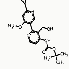 COc1cc(C2CC2)ncc1-c1nccc(NC(=O)OC(C)(C)C)c1CO